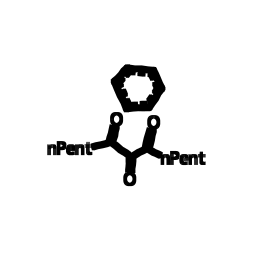 CCCCCC(=O)C(=O)C(=O)CCCCC.c1ccccc1